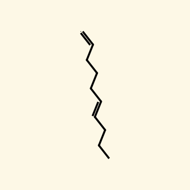 [CH]=CCCC/C=C/CCC